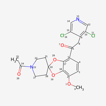 COc1ccc(C(=O)Cc2c(Cl)cncc2Cl)c2c1OC1(CCN(C(C)=O)CC1)O2